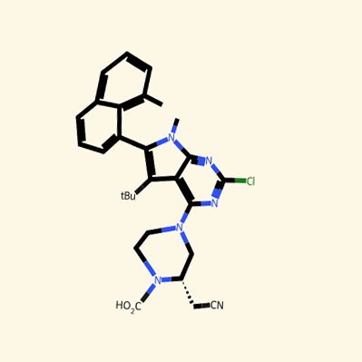 Cc1cccc2cccc(-c3c(C(C)(C)C)c4c(N5CCN(C(=O)O)[C@@H](CC#N)C5)nc(Cl)nc4n3C)c12